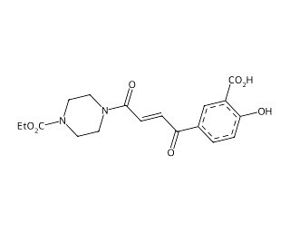 CCOC(=O)N1CCN(C(=O)C=CC(=O)c2ccc(O)c(C(=O)O)c2)CC1